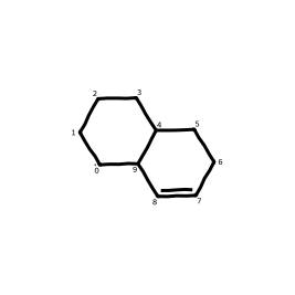 [CH]1CCCC2CCC=CC12